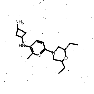 CCC1CN(c2ccc(NC3CC(N)C3)c(C)n2)CC(CC)O1